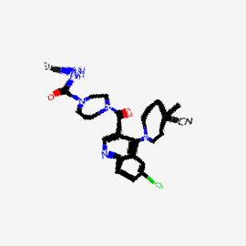 CCNC(=O)N1CCN(C(=O)c2cnc3ccc(Cl)cc3c2N2CCC(C)(C#N)CC2)CC1